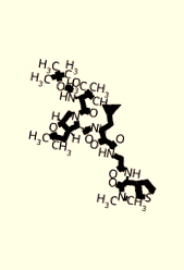 CN(C)C(=O)[C@@H](NC(=O)CNC(=O)C(=O)C(CC1CC1)NC(=O)[C@@H]1[C@H]2CC(C)(C)O[C@H]2CN1C(=O)[C@@H](NC(=O)OC(C)(C)C)C(C)(C)C)c1ccsc1